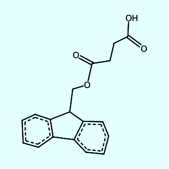 O=C(O)CCC(=O)OCC1c2ccccc2-c2ccccc21